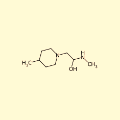 CNC(O)CN1CCC(C)CC1